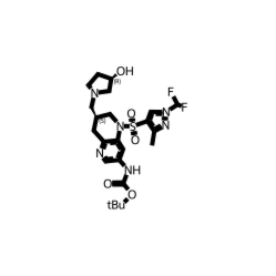 Cc1nn(C(F)F)cc1S(=O)(=O)N1C[C@H](CN2CC[C@@H](O)C2)Cc2ncc(NC(=O)OC(C)(C)C)cc21